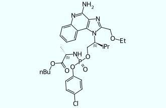 CCCCOC(=O)[C@H](C)NP(=O)(OC[C@H](C(C)C)n1c(COCC)nc2c(N)nc3ccccc3c21)Oc1ccc(Cl)cc1